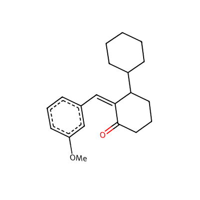 COc1cccc(C=C2C(=O)CCCC2C2CCCCC2)c1